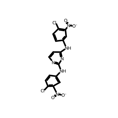 O=[N+]([O-])c1cc(Nc2ccnc(Nc3ccc(Cl)c([N+](=O)[O-])c3)n2)ccc1Cl